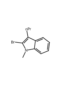 CCCc1c(Br)n(C)c2ccccc12